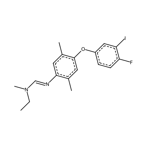 CCN(C)C=Nc1cc(C)c(Oc2ccc(F)c(I)c2)cc1C